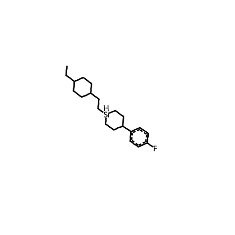 CCC1CCC(CC[SiH]2CCC(c3ccc(F)cc3)CC2)CC1